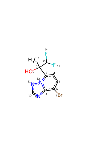 CC(O)(c1ccc(Br)c2ncnn12)C(F)F